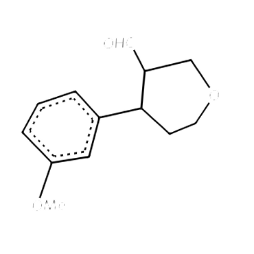 COc1cccc(C2CCOCC2C=O)c1